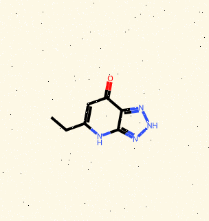 CCc1cc(=O)c2n[nH]nc2[nH]1